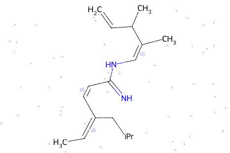 C=CC(C)/C(C)=C\NC(=N)/C=C\C(=C/C)CC(C)C